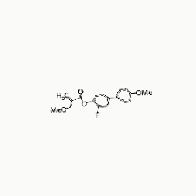 C=C(COC)C(=O)Oc1ccc(-c2ccc(OC)cc2)cc1F